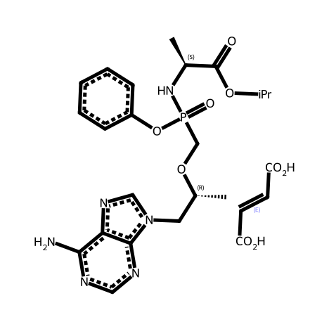 CC(C)OC(=O)[C@H](C)NP(=O)(CO[C@H](C)Cn1cnc2c(N)ncnc21)Oc1ccccc1.O=C(O)/C=C/C(=O)O